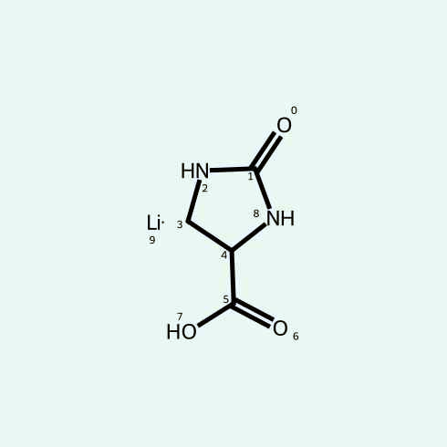 O=C1NCC(C(=O)O)N1.[Li]